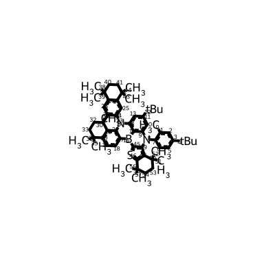 Cc1cc(C(C)(C)C)ccc1N1c2cc(C(C)(C)C)cc3c2B(c2ccc4c5c2N3c2cc3c(cc2C5(C)CCC4(C)C)C(C)(C)CCC3(C)C)c2sc3c(c21)C(C)(C)CCC3(C)C